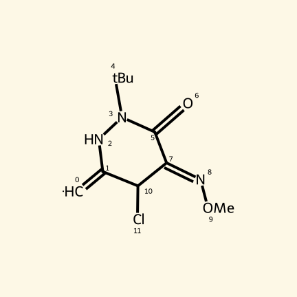 [CH]=C1NN(C(C)(C)C)C(=O)C(=NOC)C1Cl